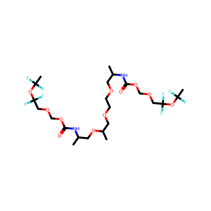 CC(COCCOCC(C)OCC(C)NC(=O)OCOCC(F)(F)OC(C)(F)F)NC(=O)OCOCC(F)(F)OC(C)(F)F